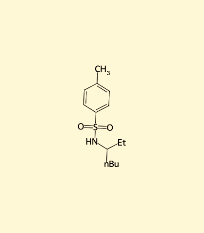 CCCCC(CC)NS(=O)(=O)c1ccc(C)cc1